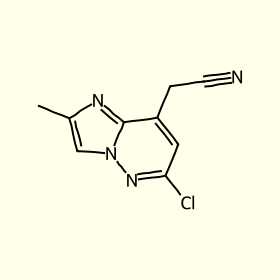 Cc1cn2nc(Cl)cc(CC#N)c2n1